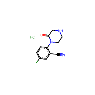 Cl.N#Cc1cc(F)ccc1N1CCNCC1=O